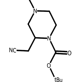 CN1CCN(C(=O)OC(C)(C)C)C(CC#N)C1